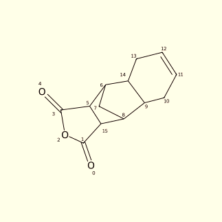 O=C1OC(=O)C2C3CC(C4CC=CCC43)C12